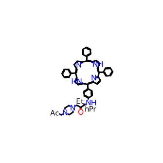 CCC[C@](CC)(Nc1ccc(-c2c3nc(c(-c4ccccc4)c4ccc([nH]4)c(-c4ccccc4)c4nc(c(-c5ccccc5)c5ccc2[nH]5)CC4)C=C3)cc1)C(=O)CN1CCN(CC(C)=O)CC1